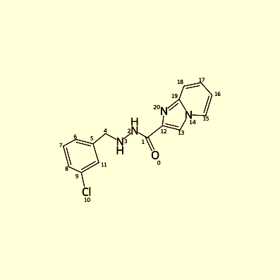 O=C(NNCc1cccc(Cl)c1)c1cn2ccccc2n1